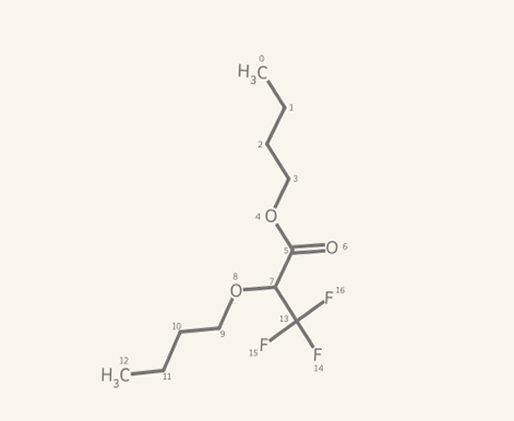 CCCCOC(=O)C(OCCCC)C(F)(F)F